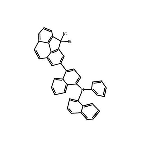 CCC1(CC)c2cccc3ccc4cc(-c5ccc(N(c6ccccc6)c6cccc7ccccc67)c6ccccc56)cc1c4c23